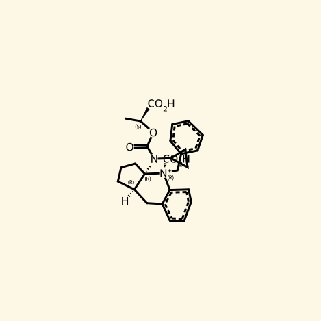 C[C@H](OC(=O)N(C1CC1)[C@@]12CCC[C@@H]1Cc1ccccc1[N@@+]2(Cc1ccccc1)C(=O)O)C(=O)O